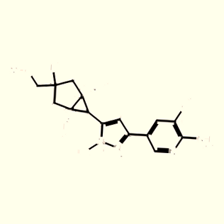 COCC1(F)C[C@@H]2C(c3cc(-c4cnc(N)c(C(F)(F)F)c4)nn3C(C)C)[C@@H]2C1